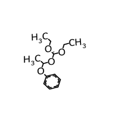 CCO[C](OCC)OC(C)Oc1ccccc1